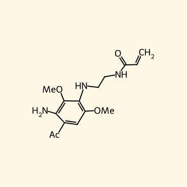 C=CC(=O)NCCNc1c(OC)cc(C(C)=O)c(N)c1OC